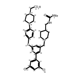 CNC(=O)NCC1CCN(Cc2cc(Oc3cnc(N4CCN(CC(=O)O)CC4)nc3)nc(-c3cc(Cl)cc(Cl)c3)c2)CC1